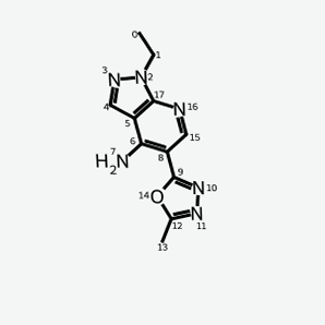 CCn1ncc2c(N)c(-c3nnc(C)o3)cnc21